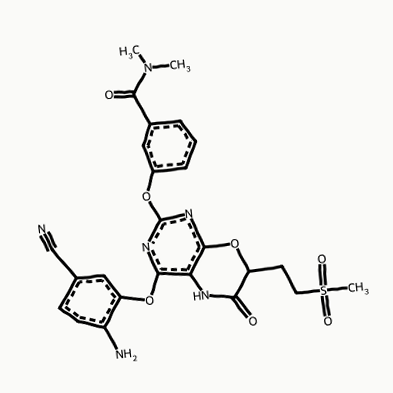 CN(C)C(=O)c1cccc(Oc2nc(Oc3cc(C#N)ccc3N)c3c(n2)OC(CCS(C)(=O)=O)C(=O)N3)c1